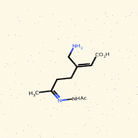 CC(=O)N/N=C(/C)CC/C(=C/C(=O)O)CN